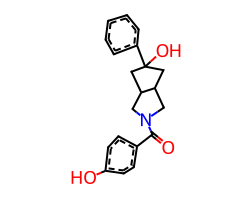 O=C(c1ccc(O)cc1)N1CC2CC(O)(c3ccccc3)CC2C1